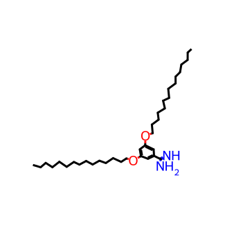 CCCCCCCCCCCCCCCOc1cc(OCCCCCCCCCCCCCCC)cc(C(=N)N)c1